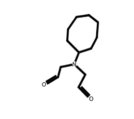 O=CCN(CC=O)C1CCCCCCC1